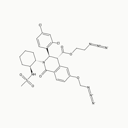 CS(=O)(=O)N[C@H]1CCCC[C@@H]1N1C(=O)c2ccc(OCN=[N+]=[N-])cc2[C@@H](C(=O)OCCN=[N+]=[N-])[C@@H]1c1ccc(Cl)cc1Cl